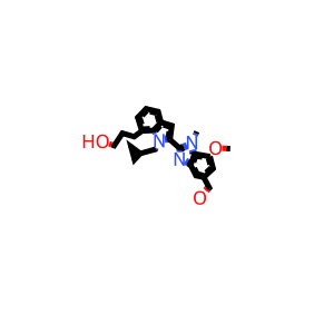 COc1cc(C=O)cc2nc(-c3cc4cccc(CCCO)c4n3CC3CC3)n(C)c12